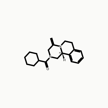 C=C1CN(C(=O)C2CCCCC2)C[C@H]2c3ccccc3CCN12